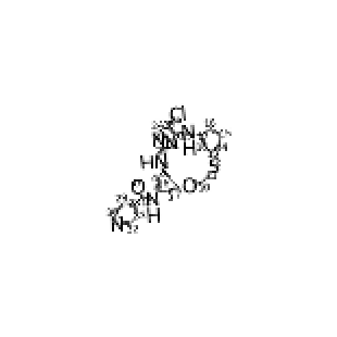 O=C(Nc1cc2cc(c1)OCCSc1cccc(c1)Nc1nc(ncc1Cl)N2)c1ccncc1